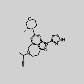 C#CC(C)N1CCc2nn(-c3cc[nH]n3)c3nc(N4CCOC[C@H]4C)cc(c23)C1